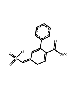 COC(=O)C1=CCC(=CS(=O)(=O)Cl)C=C1c1ccccc1